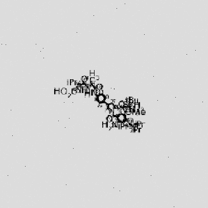 COc1cc(C(=O)N2C=C(c3ccc(NC(=O)[C@H](C)NC(=O)[C@@H](NC(=O)O)C(C)C)cc3)C[C@H]2CO[Si](C)(C)C(C)(C)C)c(N)cc1O[Si](C(C)C)(C(C)C)C(C)C